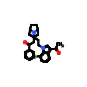 CC(=O)c1cn(CCCN2C3CCC2CC(CC(=O)c2ccccc2)C3)c2c(Cl)cccc12